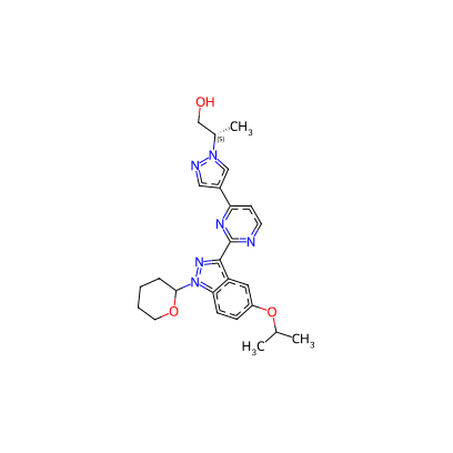 CC(C)Oc1ccc2c(c1)c(-c1nccc(-c3cnn([C@@H](C)CO)c3)n1)nn2C1CCCCO1